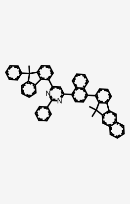 CC1(C)c2cc3ccccc3cc2-c2cccc(-c3ccc(-c4cc(-c5cccc6c5-c5ccccc5C6(C)c5ccccc5)nc(-c5ccccc5)n4)c4ccccc34)c21